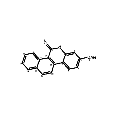 COc1ccc2c(c1)oc(=O)c1c3ccccc3ccc21